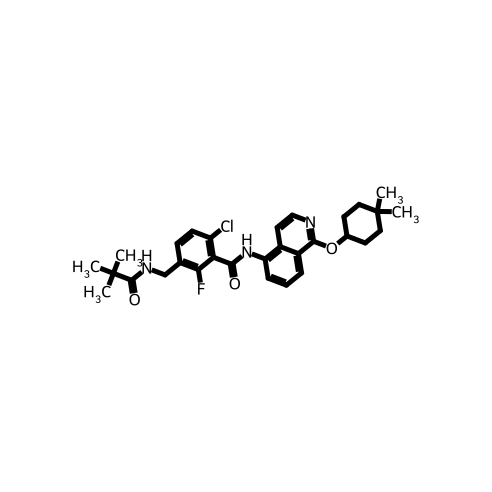 CC1(C)CCC(Oc2nccc3c(NC(=O)c4c(Cl)ccc(CNC(=O)C(C)(C)C)c4F)cccc23)CC1